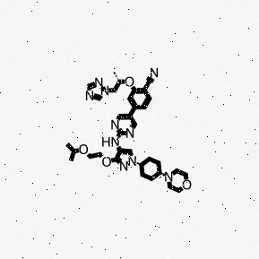 CC(C)OCCOc1nn([C@H]2CC[C@H](N3CCOCC3)CC2)cc1Nc1ncc(-c2ccc(C#N)c(O[C@@H](C)Cn3cncn3)c2)cn1